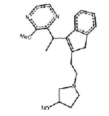 COc1nccnc1C(C)C1=C(CCN2CCC(O)C2)Cc2ccccc21